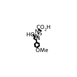 COc1ccc(-c2cc(O)n(-c3nc(C(=O)O)cs3)n2)cc1